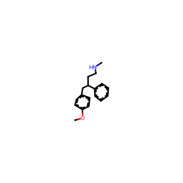 CNCCC(Cc1ccc(OC)cc1)c1ccccc1